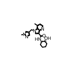 Cc1ccnc2c(C(=O)N[C@H]3CCCC[C@@H]3O)cn(Cc3cnn(C)c3)c12